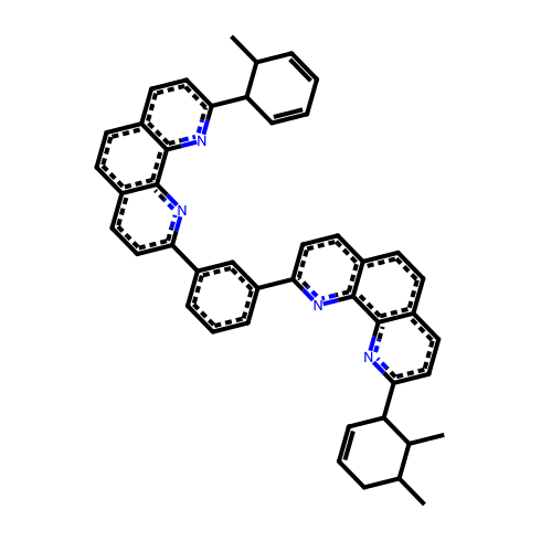 CC1C=CC=CC1c1ccc2ccc3ccc(-c4cccc(-c5ccc6ccc7ccc(C8C=CCC(C)C8C)nc7c6n5)c4)nc3c2n1